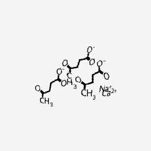 CC(=O)CCC(=O)[O-].CC(=O)CCC(=O)[O-].CC(=O)CCC(=O)[O-].[Ca+2].[Na+]